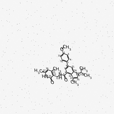 COc1ccc(-c2cc(C(=O)NCc3c(C)cc(C)[nH]c3=O)c3c(C)cn(C(C)C)c3c2)cc1